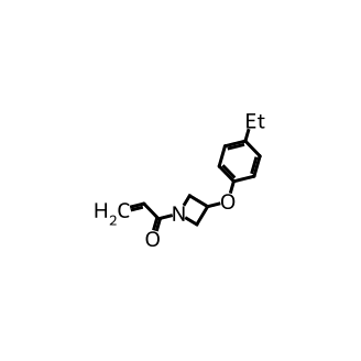 C=CC(=O)N1CC(Oc2ccc(CC)cc2)C1